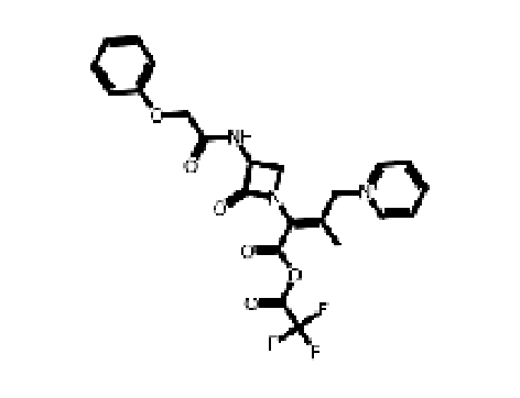 CC(C[n+]1ccccc1)=C(C(=O)OC(=O)C(F)(F)F)N1CC(NC(=O)COc2ccccc2)C1=O